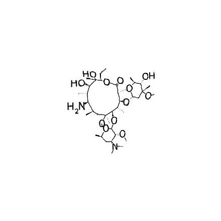 CC[C@H]1OC(=O)[C@H](C)[C@@H](O[C@H]2C[C@@](C)(OC)[C@@H](O)[C@H](C)O2)[C@H](C)[C@@H](O[C@@H]2O[C@H](C)C[C@H](N(C)C)[C@H]2OC)[C@@](C)(OC)C[C@@H](C)[C@@H](N)[C@H](C)[C@@H](O)[C@]1(C)O